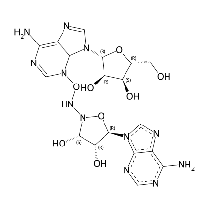 NC1=C2N=CN([C@@H]3O[C@H](CO)[C@@H](O)[C@H]3O)C2N(ONN2O[C@@H](n3cnc4c(N)ncnc43)[C@H](O)[C@@H]2O)C=N1